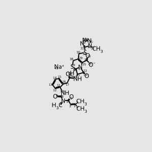 CC(C)=CC(=O)N(C)C(=O)Nc1ccccc1CC(=O)NC1C(=O)N2C(C(=O)[O-])=C(CSc3nnnn3C)CS[C@H]12.[Na+]